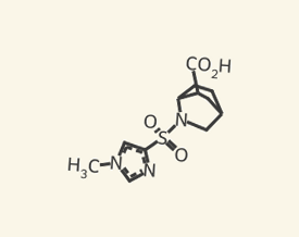 Cn1cnc(S(=O)(=O)N2CC3CCC2C(C(=O)O)C3)c1